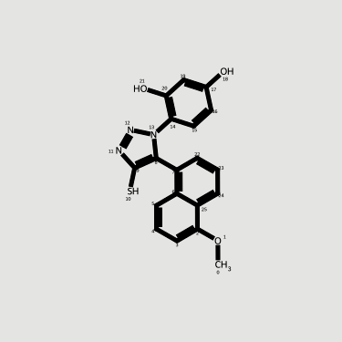 COc1cccc2c(-c3c(S)nnn3-c3ccc(O)cc3O)cccc12